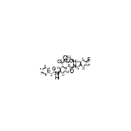 O=C(Cc1ccccc1)Nc1ccc2c(c1)C(=O)N(O)C(=O)C2C(=O)NCc1ccc(F)cc1